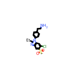 CCc1nc2cc(S(C)(=O)=O)c(Cl)cc2n1-c1ccc(CCN)cc1